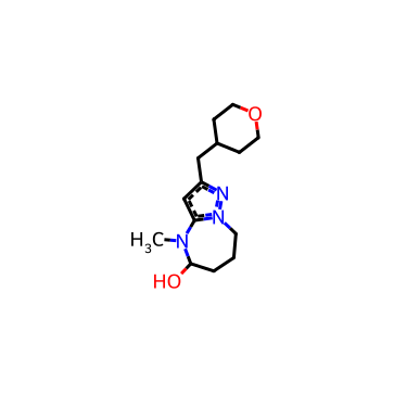 CN1c2cc(CC3CCOCC3)nn2CCCC1O